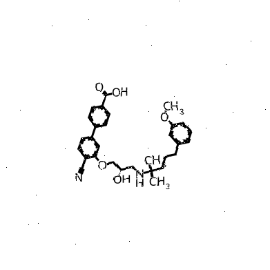 COc1cccc(CCCC(C)(C)NC[C@H](O)COc2cc(-c3ccc(C(=O)O)cc3)ccc2C#N)c1